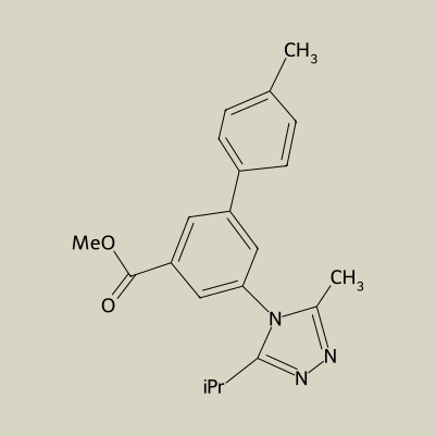 COC(=O)c1cc(-c2ccc(C)cc2)cc(-n2c(C)nnc2C(C)C)c1